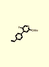 C=Cc1ccc(-c2cc(OC)ncc2F)cc1